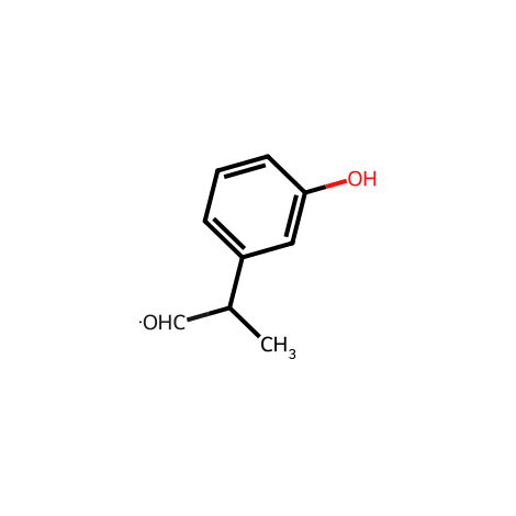 CC([C]=O)c1cccc(O)c1